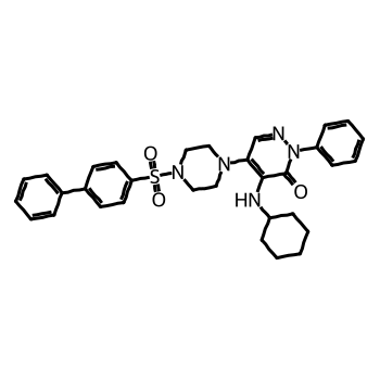 O=c1c(NC2CCCCC2)c(N2CCN(S(=O)(=O)c3ccc(-c4ccccc4)cc3)CC2)cnn1-c1ccccc1